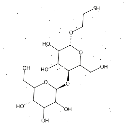 OCC1O[C@@H](O[C@@H]2C(CO)O[C@@H](OCCS)C(O)C2O)C(O)C(O)[C@@H]1O